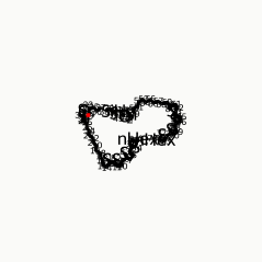 CCCCCCc1ccc(-c2ccc(-c3ccc(-c4ccc(CCCCCCCCCCC[Si](C)(C)O[Si](C)(C)CCC[SiH2]CCC[Si](C)(C)O[Si](C)(C)CCCCCCCCCCCc5ccc(-c6ccc(-c7ccc(-c8ccc(CCCCCC)s8)s7)s6)s5)s4)s3)s2)s1